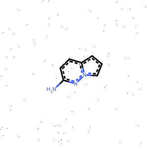 Nc1ccc2cccn2n1